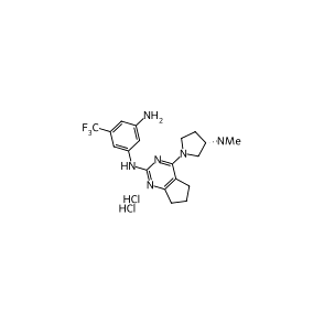 CN[C@H]1CCN(c2nc(Nc3cc(N)cc(C(F)(F)F)c3)nc3c2CCC3)C1.Cl.Cl